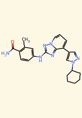 Cc1cc(Nc2nc3c(-c4cnn(C5CCCCC5)c4)cccn3n2)ccc1C(N)=O